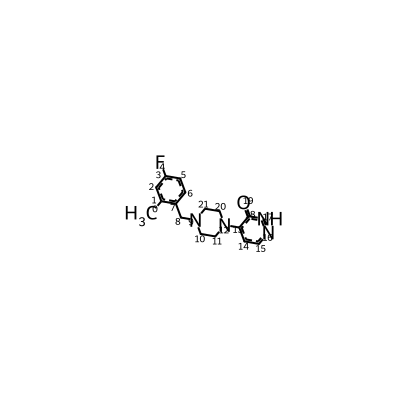 Cc1cc(F)ccc1CN1CCN(c2ccn[nH]c2=O)CC1